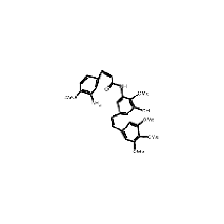 COc1ccc(/C=C\C(=O)Nc2cc(/C=C\c3cc(OC)c(OC)c(OC)c3)cc(O)c2OC)cc1N